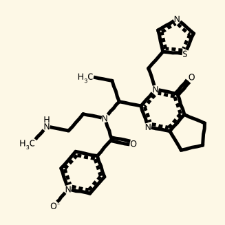 CCC(c1nc2c(c(=O)n1Cc1cncs1)CCC2)N(CCNC)C(=O)c1cc[n+]([O-])cc1